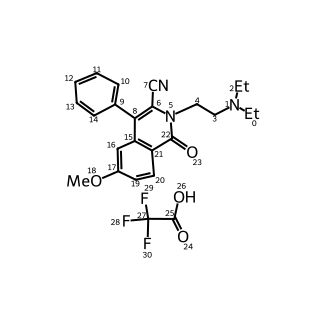 CCN(CC)CCn1c(C#N)c(-c2ccccc2)c2cc(OC)ccc2c1=O.O=C(O)C(F)(F)F